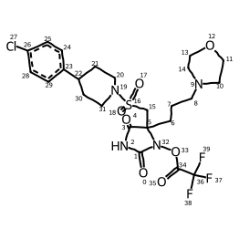 O=C1NC(=O)C(CCCN2CCOCC2)(CS(=O)(=O)N2CCC(c3ccc(Cl)cc3)CC2)N1OC(=O)C(F)(F)F